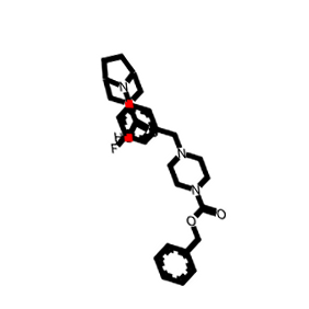 O=C(O)N1CC2CCC(C1)N2c1cc(F)cc(CN2CCN(C(=O)OCc3ccccc3)CC2)c1